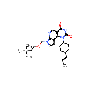 C[Si](C)(C)CCOCn1ccc2c1ncc1c(=O)[nH]c(=O)n(C3CCC(C=CC#N)CC3)c12